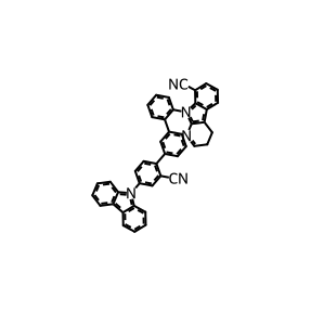 N#Cc1cc(-n2c3ccccc3c3ccccc32)ccc1-c1cccc(-c2ccccc2-n2c3c(c4cccc(C#N)c42)CCC=N3)c1